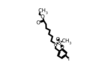 CCOC(=O)CCCCCCN(Cc1ccc(I)cc1)S(C)(=O)=O